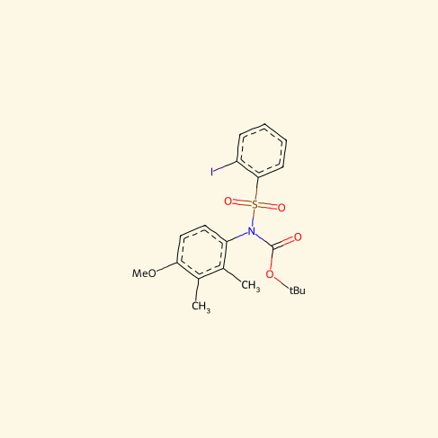 COc1ccc(N(C(=O)OC(C)(C)C)S(=O)(=O)c2ccccc2I)c(C)c1C